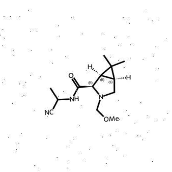 COCN1C[C@H]2[C@@H]([C@@H]1C(=O)NC(C)C#N)C2(C)C